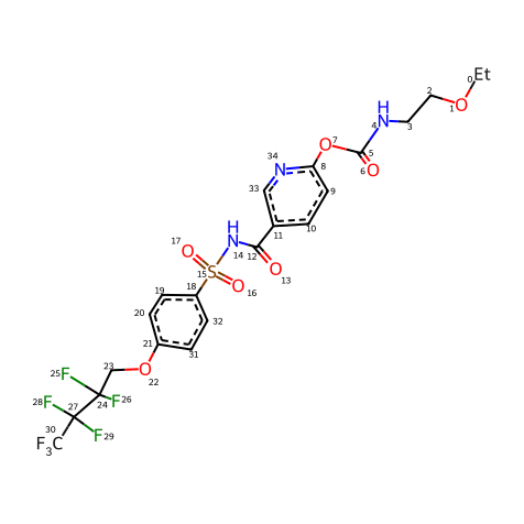 CCOCCNC(=O)Oc1ccc(C(=O)NS(=O)(=O)c2ccc(OCC(F)(F)C(F)(F)C(F)(F)F)cc2)cn1